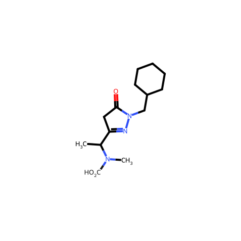 CC(C1=NN(CC2CCCCC2)C(=O)C1)N(C)C(=O)O